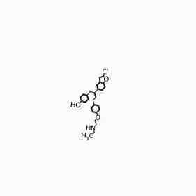 CCNCCOc1ccc(CC=C(Cc2ccc(O)cc2)c2ccc3oc(Cl)cc3c2)cc1